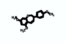 COc1ccc(C2C=Cc3c(OC)cc(OC)cc3OC2)cc1